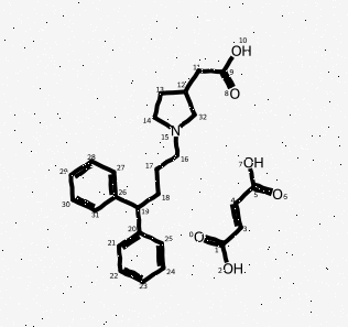 O=C(O)C=CC(=O)O.O=C(O)CC1CCN(CCCC(c2ccccc2)c2ccccc2)C1